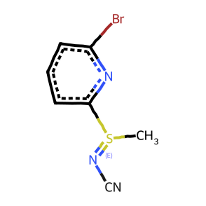 C/S(=N\C#N)c1cccc(Br)n1